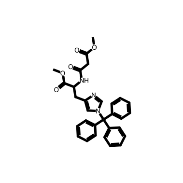 COC(=O)CC(=O)NC(Cc1cn(C(c2ccccc2)(c2ccccc2)c2ccccc2)cn1)C(=O)OC